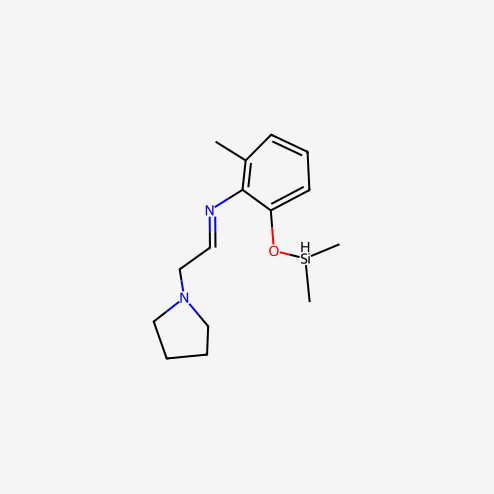 Cc1cccc(O[SiH](C)C)c1N=CCN1CCCC1